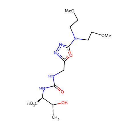 COCCN(CCOC)c1nnc(CNC(=O)N[C@H](C(=O)O)C(C)O)o1